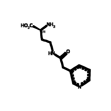 N[C@@H](CCNC(=O)Cc1cccnc1)C(=O)O